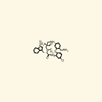 CN(C[C@@](N)(C=O)CN)[C@@H](Cc1cn(C)c2ccccc12)C(=O)NCc1cc(Cl)ccc1Sc1ccccc1CN